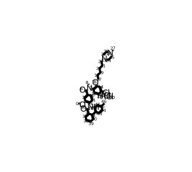 COc1cc(C(=O)N(C)c2ccc(Cl)cc2OCCCCCCN2CCN(C)CC2)ccc1NC(=O)c1ccccc1-c1ccc(C)cc1.Cl.Cl